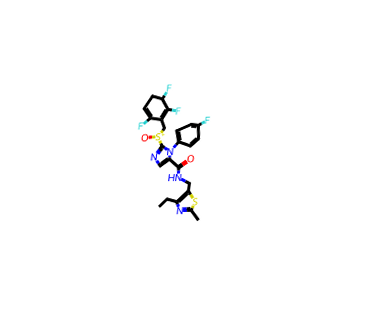 CCc1nc(C)sc1CNC(=O)c1cnc([S+]([O-])CC2=C(F)C(F)CC=C2F)n1-c1ccc(F)cc1